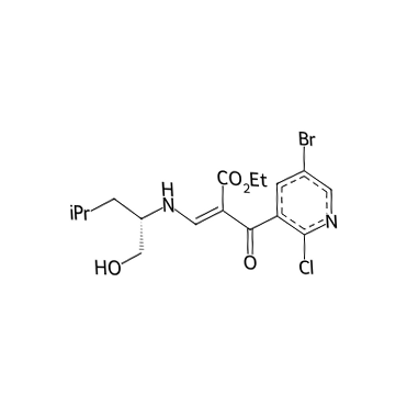 CCOC(=O)/C(=C\N[C@H](CO)CC(C)C)C(=O)c1cc(Br)cnc1Cl